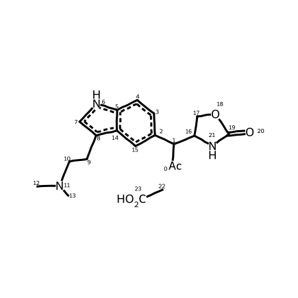 CC(=O)C(c1ccc2[nH]cc(CCN(C)C)c2c1)C1COC(=O)N1.CC(=O)O